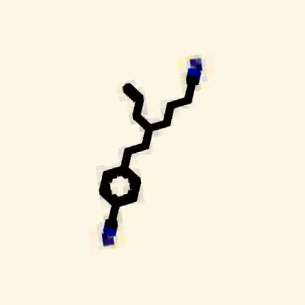 C=CCC(CCCC#N)CCc1ccc(C#N)cc1